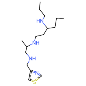 CCCNC(CCC)CCNC(C)CNCc1cscn1